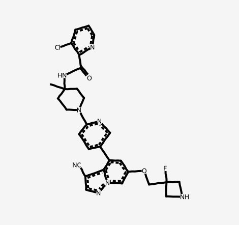 CC1(NC(=O)c2ncccc2Cl)CCN(c2ccc(-c3cc(OCC4(F)CNC4)cn4ncc(C#N)c34)cn2)CC1